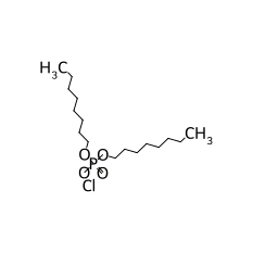 CCCCCCCCOP(=O)(OCl)OCCCCCCCC